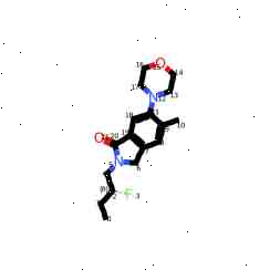 CC[C@@H](F)CN1Cc2cc(C)c(N3CCOCC3)cc2C1=O